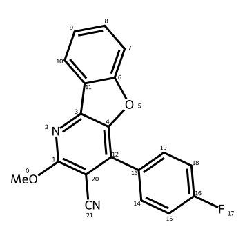 COc1nc2c(oc3ccccc32)c(-c2ccc(F)cc2)c1C#N